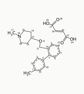 Cc1ccc(-c2ccccc2COC2CCN(C)CC2)cc1.O=C(O)C=CC(=O)O